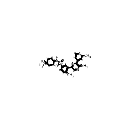 Cc1cc(-c2nc(-c3cc(S(=O)(=O)NC4CCC(C)(O)CC4)ccc3C)cnc2N)ccn1